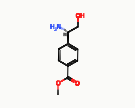 COC(=O)c1ccc([C@H](N)CO)cc1